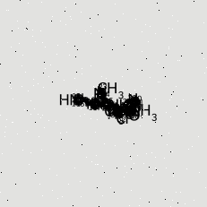 COc1cc(N2CCN(CCC3CCNCC3)CC2)c(-c2cnn(C)c2)cc1Nc1ncc(Cl)c(Nc2ccc3nccnc3c2P(C)(C)=O)n1